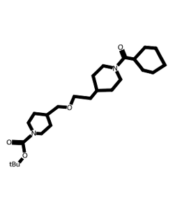 CC(C)(C)OC(=O)N1CCC(COCCC2CCN(C(=O)C3CCCCC3)CC2)CC1